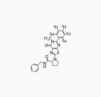 [2H]c1c([2H])c([2H])c(-c2nc3sc(N4CCCC4C(=O)NCc4ccccc4)nc3c(=O)n2C)c([2H])c1[2H]